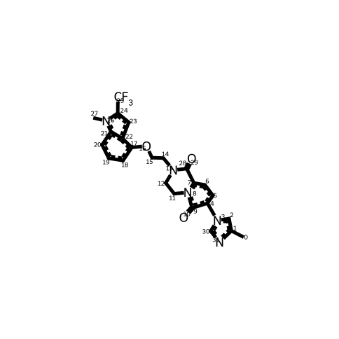 Cc1cn(-c2ccc3n(c2=O)CCN(CCOc2cccc4c2cc(C(F)(F)F)n4C)C3=O)cn1